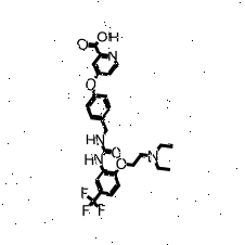 CCN(CC)CCOc1ccc(C(F)(F)F)cc1NC(=O)NCc1ccc(Oc2ccnc(C(=O)O)c2)cc1